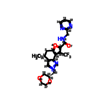 C[C@@H]1Cc2oc(C(=O)NCc3ncccn3)c(C(F)(F)F)c2-c2nn(C[C@H]3COCCO3)cc21